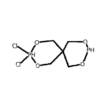 Cl[PH]1(Cl)OCC2(COPOC2)CO1